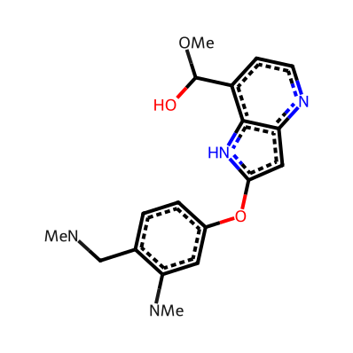 CNCc1ccc(Oc2cc3nccc(C(O)OC)c3[nH]2)cc1NC